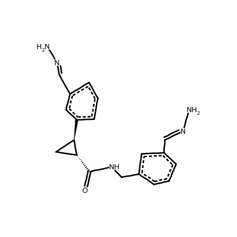 NN=Cc1cccc(CNC(=O)[C@@H]2C[C@H]2c2cccc(C=NN)c2)c1